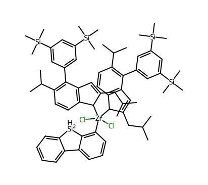 CC(C)CC1=Cc2c(ccc(C(C)C)c2-c2cc([Si](C)(C)C)cc([Si](C)(C)C)c2)[CH]1[Zr]([Cl])([Cl])([c]1cccc2c1[SiH2]c1ccccc1-2)[CH]1C(CC(C)C)=Cc2c1ccc(C(C)C)c2-c1cc([Si](C)(C)C)cc([Si](C)(C)C)c1